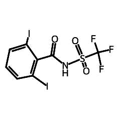 O=C(NS(=O)(=O)C(F)(F)F)c1c(I)cccc1I